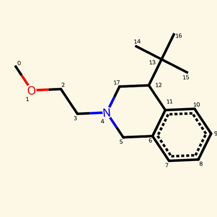 COCCN1Cc2ccccc2C(C(C)(C)C)C1